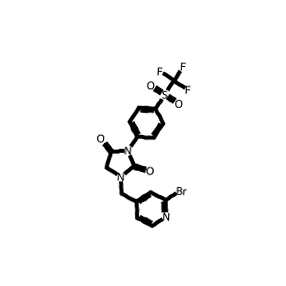 O=C1CN(Cc2ccnc(Br)c2)C(=O)N1c1ccc(S(=O)(=O)C(F)(F)F)cc1